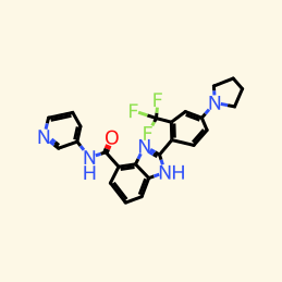 O=C(Nc1cccnc1)c1cccc2[nH]c(-c3ccc(N4CCCC4)cc3C(F)(F)F)nc12